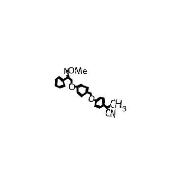 CO/N=C(\COc1ccc(COc2ccc(C(C)C#N)cc2)cc1)c1ccccc1